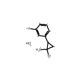 CCC1(N)CC1c1cccc(F)c1.Cl